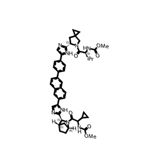 COC(=O)NC(C(=O)N1[C@@H]2CC[C@@H](C2)[C@H]1c1ncc(-c2ccc3cc(-c4ccc(-c5cnc([C@@H]6CC7(CC7)CN6C(=O)[C@@H](NC(=O)OC)C(C)C)[nH]5)cc4)ccc3c2)[nH]1)C1CC1